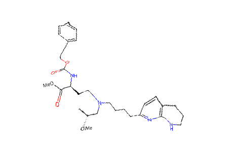 COC(=O)[C@H](CCN(CCCCc1ccc2c(n1)NCCC2)C[C@@H](C)OC)NC(=O)OCc1ccccc1